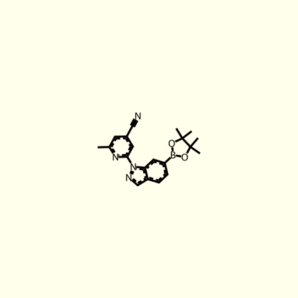 Cc1cc(C#N)cc(-n2ncc3ccc(B4OC(C)(C)C(C)(C)O4)cc32)n1